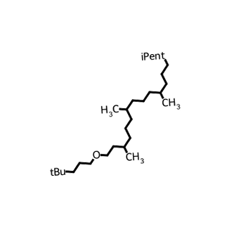 CCCC(C)CCCC(C)CCCC(C)CCCC(C)CCOCCCC(C)(C)C